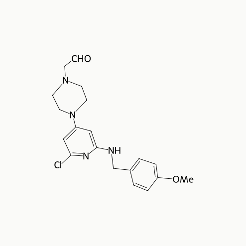 COc1ccc(CNc2cc(N3CCN(CC=O)CC3)cc(Cl)n2)cc1